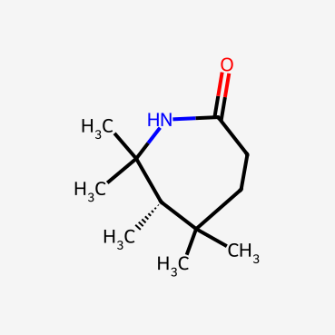 C[C@H]1C(C)(C)CCC(=O)NC1(C)C